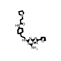 Nc1nc(NCCc2ccc(NC(=O)CCN3CCCC3)cc2)nc2nc(-c3ccco3)nn12